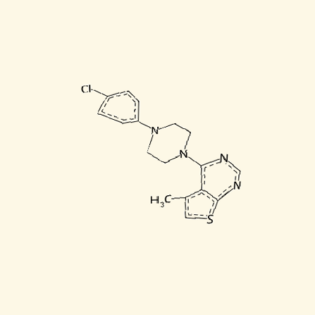 Cc1csc2ncnc(N3CCN(c4ccc(Cl)cc4)CC3)c12